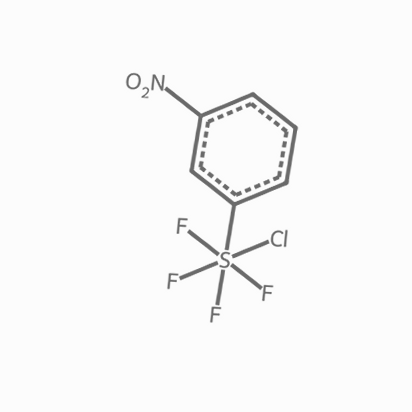 O=[N+]([O-])c1cccc(S(F)(F)(F)(F)Cl)c1